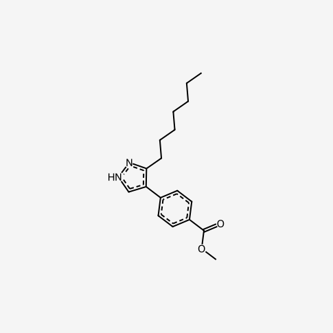 CCCCCCCc1n[nH]cc1-c1ccc(C(=O)OC)cc1